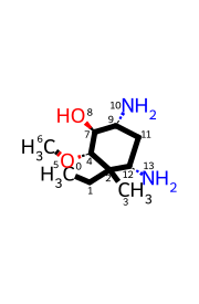 CCC1(C)[C@H](OC)[C@@H](O)[C@H](N)C[C@@H]1N